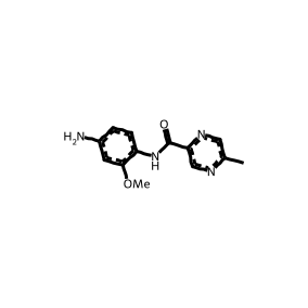 COc1cc(N)ccc1NC(=O)c1cnc(C)cn1